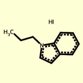 CCCn1ccc2ccccc21.I